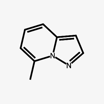 Cc1cccc2ccnn12